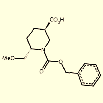 COC[C@@H]1CC[C@@H](C(=O)O)CN1C(=O)OCc1ccccc1